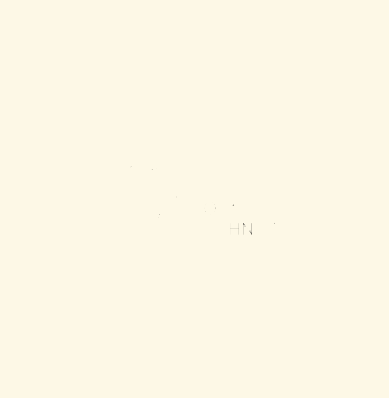 CNCOCc1ccccc1